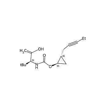 C=C(O)[C@@H](NC(=O)O[C@@H]1C[C@H]1CC#CCC)C(C)(C)C